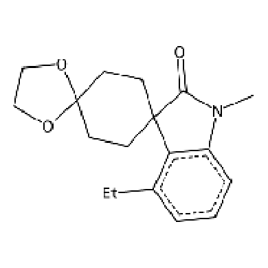 CCc1cccc2c1C1(CCC3(CC1)OCCO3)C(=O)N2C